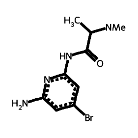 CNC(C)C(=O)Nc1cc(Br)cc(N)n1